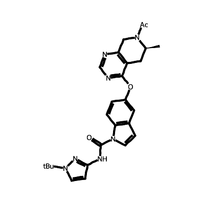 CC(=O)N1Cc2ncnc(Oc3ccc4c(ccn4C(=O)Nc4ccn(C(C)(C)C)n4)c3)c2C[C@@H]1C